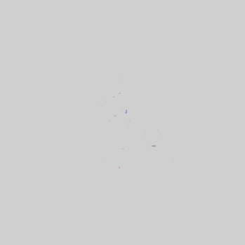 CC[C@@H](O)[C@@H](O)[C@H](CO[C@H]1OC(CO)[C@@H](F)C(O)[C@@H]1O)NC(=O)Cc1ccc(C)cc1